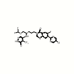 O=c1[nH]ncc(N[C@H](CCCn2cnc3cc(-c4ncc(Cl)cn4)c(F)cc3c2=O)COC(F)F)c1C(F)(F)F